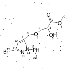 COC(=O)C(O)COCc1cc(Br)nn1PI